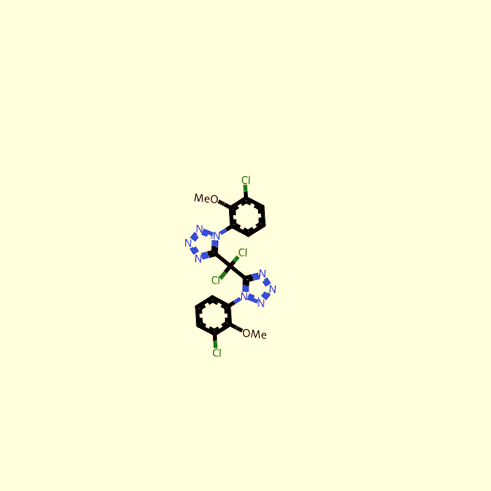 COc1c(Cl)cccc1-n1nnnc1C(Cl)(Cl)c1nnnn1-c1cccc(Cl)c1OC